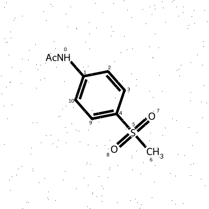 CC(=O)Nc1ccc(S(C)(=O)=O)cc1